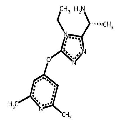 CCn1c(Oc2cc(C)nc(C)c2)nnc1[C@@H](C)N